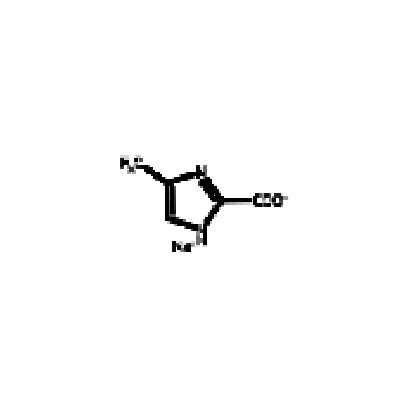 O=C([O-])c1nc(C(F)(F)F)c[nH]1.[Na+]